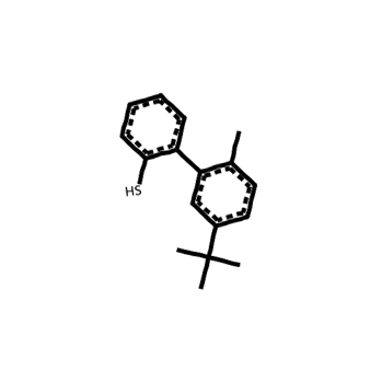 Cc1ccc(C(C)(C)C)cc1-c1ccccc1S